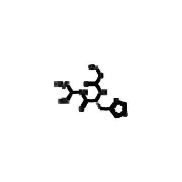 CCCC[C@H](NC(=O)[C@@H](Cc1cscn1)NC(=O)OC(C)(C)C)C(=O)O